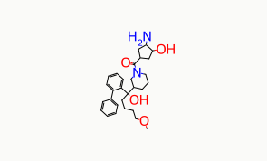 COCCCCC(O)(c1ccccc1-c1ccccc1)C1CCCN(C(=O)C2CC(N)C(O)C2)C1